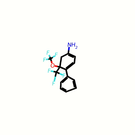 NC1=CC=C(c2ccccc2)C(OC(F)(F)F)(C(F)(F)F)C1